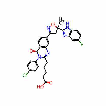 CC1(c2nc3cc(F)ccc3[nH]2)CC(c2ccc3c(=O)n(-c4ccc(Cl)cc4)c(CCCCC(=O)O)nc3c2)=NO1